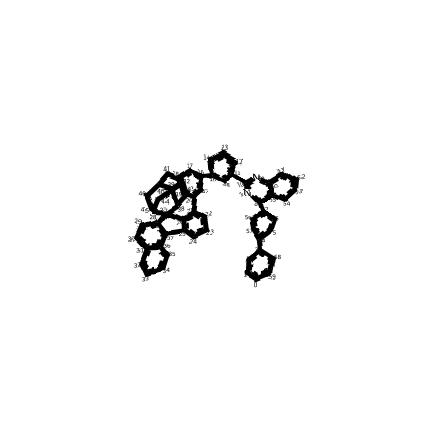 c1ccc(-c2ccc(-c3nc(-c4cccc(-c5cccc(-c6cccc7c6C6(c8ccc9ccccc9c8-7)C7CC8CC(C7)CC6C8)c5)c4)nc4ccccc34)cc2)cc1